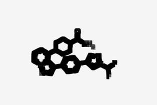 NC(=O)C1CCC(c2cccn3ncc(-c4ccc(-c5cnn(C(F)F)c5)cc4)c23)CC1